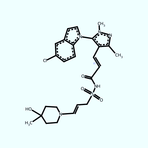 Cc1nn(C)c(-n2ccc3cc(Cl)ccc32)c1/C=C/C(=O)NS(=O)(=O)CC=CN1CCC(C)(O)CC1